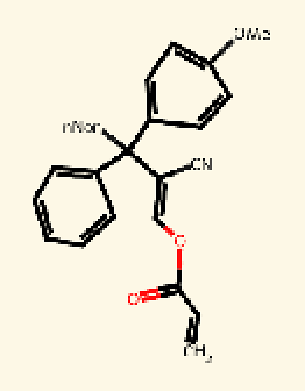 C=CC(=O)OC=C(C#N)C(CCCCCCCCC)(c1ccccc1)c1ccc(OC)cc1